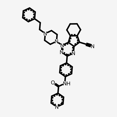 N#Cc1c2nc(-c3ccc(NC(=O)c4ccncc4)cc3)nn(N3CCN(CCc4ccccc4)CC3)c-2c2c1CCCC2